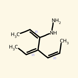 C\C=C/C(=C/C)C(=C\C)/NN